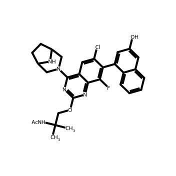 CC(=O)NC(C)(C)COc1nc(N2CC3CCC(C2)N3)c2cc(Cl)c(-c3cc(O)cc4ccccc34)c(F)c2n1